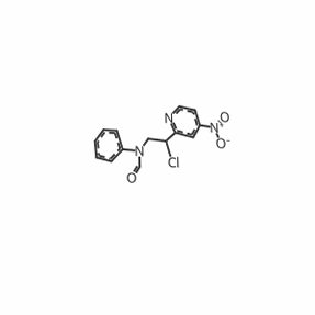 O=CN(CC(Cl)c1cc([N+](=O)[O-])ccn1)c1ccccc1